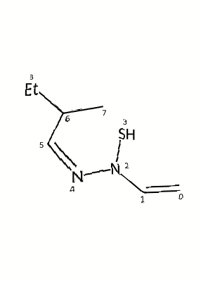 C=CN(S)/N=C\C(C)CC